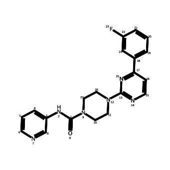 O=C(Nc1cccnc1)N1CCN(c2nccc(-c3cccc(F)c3)n2)CC1